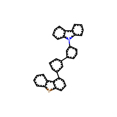 c1cc(-c2cccc(-n3c4ccccc4c4ccccc43)c2)cc(-c2cccc3sc4ccccc4c23)c1